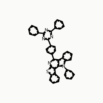 c1ccc(-c2nc(-c3ccccc3)nc(-c3ccc(-c4nc5sc6ccccc6c5c5c4c4ccccc4n5-c4ccccc4)cc3)n2)cc1